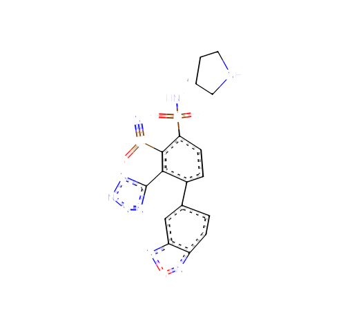 N#S(=O)c1c(S(=O)(=O)N[C@@H]2CCNC2)ccc(-c2ccc3nonc3c2)c1-c1nnn[nH]1